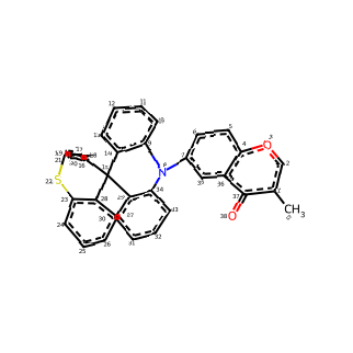 Cc1coc2ccc(N3c4ccccc4C4(c5ccccc5Sc5ccccc54)c4ccccc43)cc2c1=O